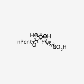 CCCCCC(=O)CC[C@@H]1[C@@H](CC=CCCCC(=O)O)[C@@H](O)C[C@H]1O